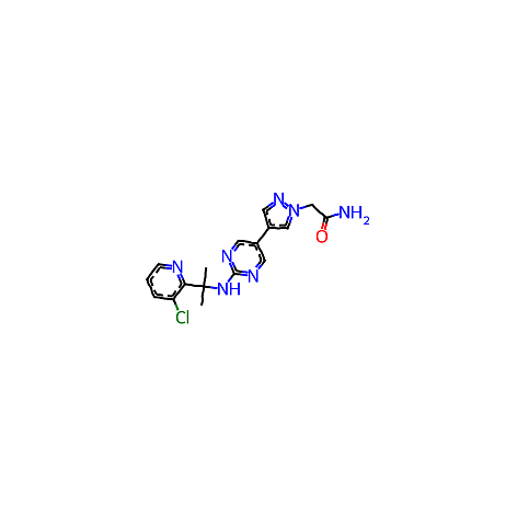 CC(C)(Nc1ncc(-c2cnn(CC(N)=O)c2)cn1)c1ncccc1Cl